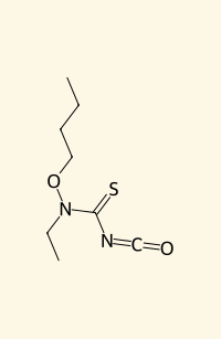 CCCCON(CC)C(=S)N=C=O